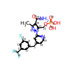 Cc1nn(-c2cc(Cc3cc(F)cc(C(F)F)c3)ccn2)c(COP(=O)(O)O)c1C(N)=O